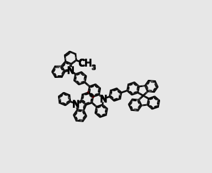 CC1CC=Cc2c1n(-c1ccc(-c3ccc(N(c4ccc(-c5ccc6c(c5)C5(c7ccccc7-c7ccccc75)c5ccccc5-6)cc4)c4ccccc4-c4cccc5c4c4ccccc4n5-c4ccccc4)cc3)cc1)c1ccccc21